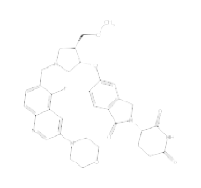 COC[C@@H]1CN(Cc2ccc3ncc(N4CCOCC4)cc3c2F)C[C@H]1Oc1ccc2c(c1)CN([C@H]1CCC(=O)NC1=O)C2=O